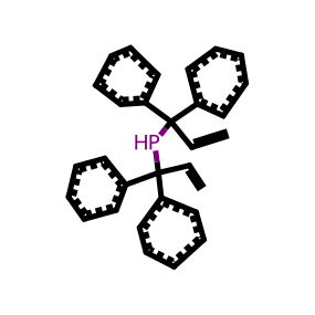 C=CC(PC(C=C)(c1ccccc1)c1ccccc1)(c1ccccc1)c1ccccc1